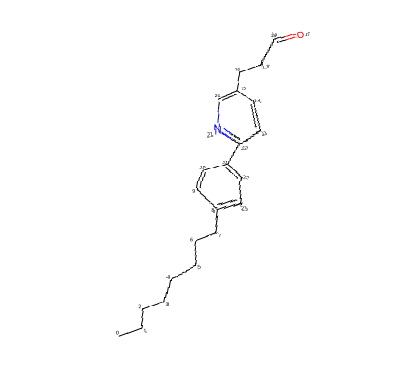 CCCCCCCCc1ccc(-c2ccc(CCC=O)cn2)cc1